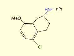 CCCNC1CCc2c(Cl)ccc(OC)c2C1